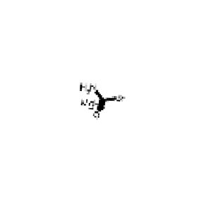 NC(=O)Br.[MgH2]